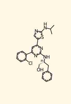 CC(C)Nc1ncc(-c2cc(-c3ccccc3Cl)nc(N[C@@H](CO)Cc3ccccc3)n2)s1